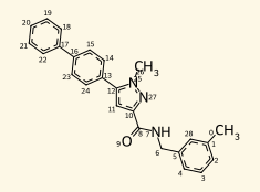 Cc1cccc(CNC(=O)c2cc(-c3ccc(-c4ccccc4)cc3)n(C)n2)c1